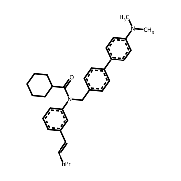 CCCC=Cc1cccc(N(Cc2ccc(-c3ccc(N(C)C)cc3)cc2)C(=O)C2CCCCC2)c1